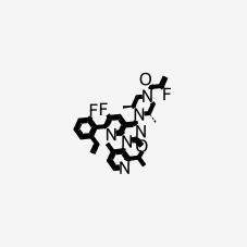 C=Cc1cccc(F)c1-c1nc2c(cc1F)c(N1[C@@H](C)CN(C(=O)C(=C)F)C[C@@H]1C)nc(=O)n2-c1c(C)ccnc1C(C)C